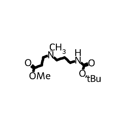 COC(=O)CCN(C)CCCNC(=O)OC(C)(C)C